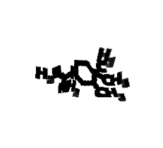 B[C@H](N)N1CCC(C)(C)[C@@H](C)C1